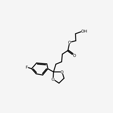 O=C(CCCC1(c2ccc(F)cc2)OCCO1)OCCO